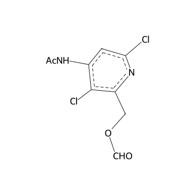 CC(=O)Nc1cc(Cl)nc(COC=O)c1Cl